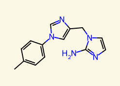 Cc1ccc(-n2cnc(Cn3ccnc3N)c2)cc1